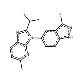 Cc1ccc2nc(C(C)C)n(-c3ccc4[nH]nc(F)c4c3)c2n1